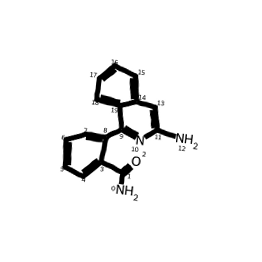 NC(=O)c1ccccc1-c1nc(N)cc2ccccc12